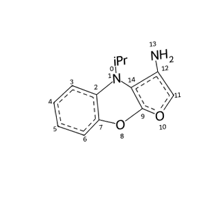 CC(C)N1c2ccccc2Oc2occ(N)c21